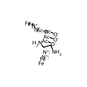 CC(=O)[O-].CC(=O)[O-].CC(=O)[O-].CC(=O)[O-].NCCN.[Fe].[Fe].[Fe].[Fe].[N+].[N+].[N+].[N+]